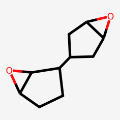 C1C(C2CCC3OC32)CC2OC12